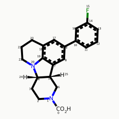 O=C(O)N1CC[C@H]2[C@@H](C1)c1cc(-c3cccc(F)c3)cc3c1N2CCC3